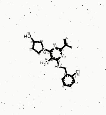 C=C(C)c1nc(NCc2ccccc2Cl)c(N)c(N2CCC(O)C2)n1